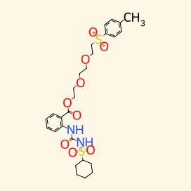 Cc1ccc(S(=O)(=O)CCOCCOCCOC(=O)c2ccccc2NC(=O)NS(=O)(=O)C2CCCCC2)cc1